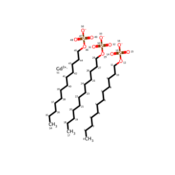 CCCCCCCCCCCCOS(=O)(=O)[O-].CCCCCCCCCCCCOS(=O)(=O)[O-].CCCCCCCCCCCCOS(=O)(=O)[O-].[Gd+3]